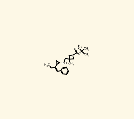 CCC(=Cc1ccccc1)C1C[C@@H]1NCC1(C)CN(C(=O)OC(C)(C)C)C1